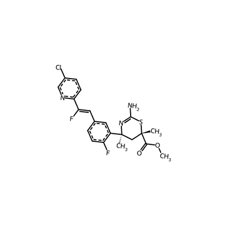 COC(=O)[C@]1(C)C[C@@](C)(c2cc(/C=C(\F)c3ccc(Cl)cn3)ccc2F)N=C(N)S1